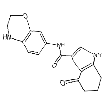 O=C(Nc1ccc2c(c1)OCCN2)c1c[nH]c2c1C(=O)CCC2